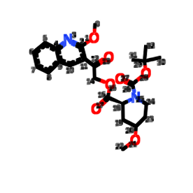 COc1nc2ccccc2cc1C(=O)COC(=O)[C@@H]1CC(OC)CCN1C(=O)OC(C)(C)C